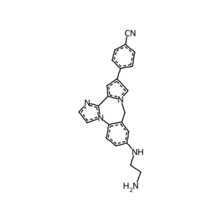 N#Cc1ccc(-c2cc3n(c2)Cc2cc(NCCN)ccc2-n2ccnc2-3)cc1